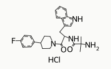 CC(C)(N)C(=O)NC(Cc1c[nH]c2ccccc12)C(=O)N1CCC(c2ccc(F)cc2)CC1.Cl